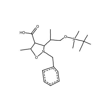 CC(CO[Si](C)(C)C(C)(C)C)C1C(C(=O)O)C(C)ON1Cc1ccccc1